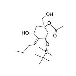 CCCC=C1[C@H](O)C[C@@](CO)(OC(C)=O)C[C@H]1O[Si](C)(C)C(C)(C)C